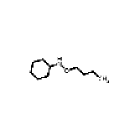 CCCCONC1CCCCC1